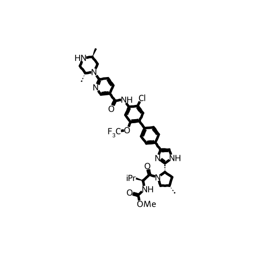 COC(=O)N[C@H](C(=O)N1C[C@@H](C)C[C@H]1c1nc(-c2ccc(-c3cc(Cl)c(NC(=O)c4ccc(N5C[C@H](C)NC[C@H]5C)nc4)cc3OC(F)(F)F)cc2)c[nH]1)C(C)C